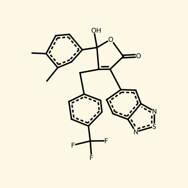 Cc1ccc(C2(O)OC(=O)C(c3ccc4nsnc4c3)=C2Cc2ccc(C(F)(F)F)cc2)cc1C